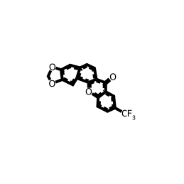 O=c1c2cc(C(F)(F)F)ccc2oc2c1ccc1cc3c(cc12)OCO3